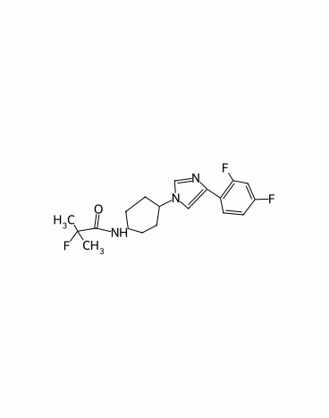 CC(C)(F)C(=O)NC1CCC(n2cnc(-c3ccc(F)cc3F)c2)CC1